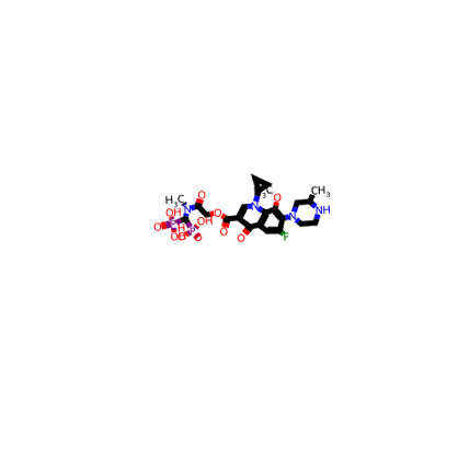 COc1c(N2CCNC(C)C2)c(F)cc2c(=O)c(C(=O)OCC(=O)N(C)C(P(=O)(O)O)P(=O)(O)O)cn(C3CC3)c12